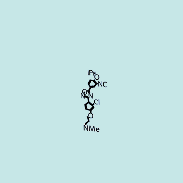 [C-]#[N+]c1cc(-c2nc(-c3ccc(OCCCNC)cc3Cl)no2)ccc1OC(C)C